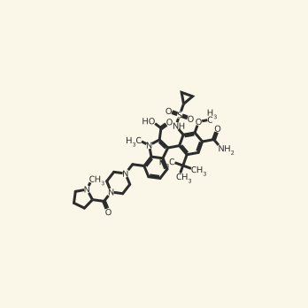 COc1c(C(N)=O)cc(C(C)(C)C)c(-c2c(C(=O)O)n(C)c3c(CN4CCN(C(=O)C5CCCN5C)CC4)cccc23)c1NS(=O)(=O)C1CC1